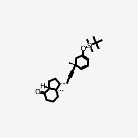 CC(C)(C)[Si](C)(C)OC1=CC=C[C@](C)(C#CC[C@H]2CC[C@H]3C(=O)CCC[C@]23C)C1